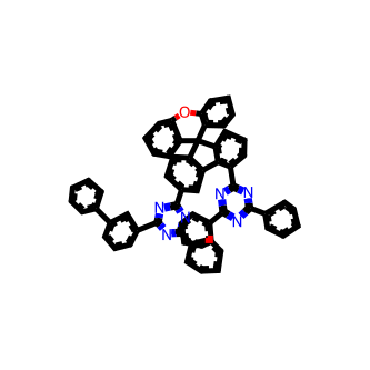 c1ccc(-c2cccc(-c3nc(-c4ccccc4)nc(-c4ccc5c(c4)-c4c(-c6nc(-c7ccccc7)nc(-c7ccccc7)n6)cccc4C54c5ccccc5Oc5ccccc54)n3)c2)cc1